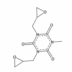 Cn1c(=O)n(CC2CO2)c(=O)n(CC2CO2)c1=O